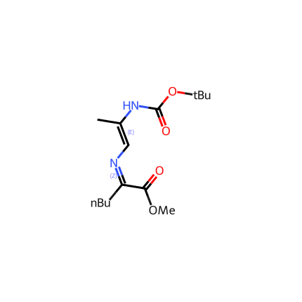 CCCC/C(=N/C=C(\C)NC(=O)OC(C)(C)C)C(=O)OC